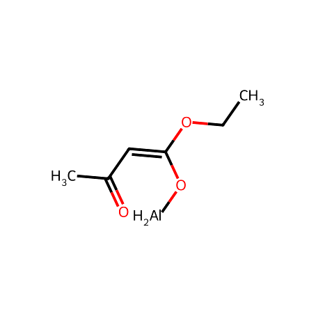 CCOC(=CC(C)=O)[O][AlH2]